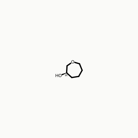 O[C@@H]1CCCCOC1